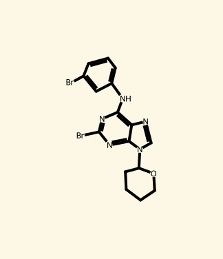 Brc1cccc(Nc2nc(Br)nc3c2ncn3C2CCCCO2)c1